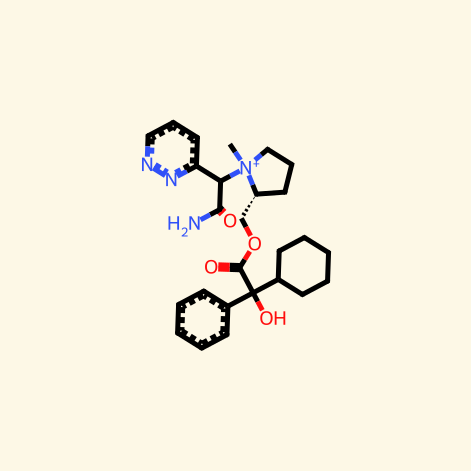 C[N+]1(C(C(N)=O)c2cccnn2)CCC[C@@H]1COC(=O)C(O)(c1ccccc1)C1CCCCC1